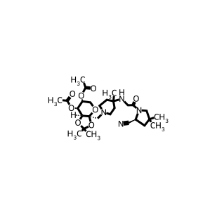 CC(=O)O[C@@H]1[C@H](OC(C)=O)CO[C@@]2(CN3CCC(C)(NCC(=O)N4CC(C)(C)C[C@H]4C#N)CC3)OC(C)(C)O[C@@H]12